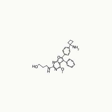 COc1nc(NCCCO)nc2oc(-c3ccc(C4(N)CCC4)cc3)c(-c3ccccc3)c12